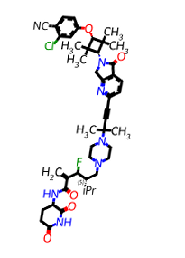 C=C(C(=O)NC1CCC(=O)NC1=O)C(F)[C@H](CN1CCN(C(C)(C)C#Cc2ccc3c(n2)CN([C@H]2C(C)(C)[C@H](Oc4ccc(C#N)c(Cl)c4)C2(C)C)C3=O)CC1)C(C)C